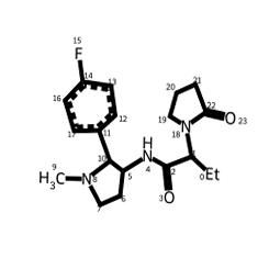 CCC(C(=O)NC1CCN(C)C1c1ccc(F)cc1)N1CCCC1=O